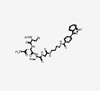 CC(=O)N[C@@H](CC(C)C)C(=O)N[C@@H](CC(N)=O)C(=O)N[C@@H](CC(C)C)C(=O)NCC(=O)NCCCCNC(=O)c1ccc(-c2n[nH]c3ccccc23)cc1